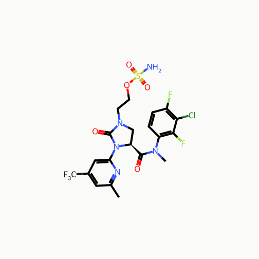 Cc1cc(C(F)(F)F)cc(N2C(=O)N(CCOS(N)(=O)=O)C[C@H]2C(=O)N(C)c2ccc(F)c(Cl)c2F)n1